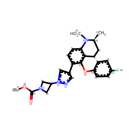 C[C@H]1CCc2c(ccc(-c3cnn(C4CN(C(=O)OC(C)(C)C)C4)c3)c2Oc2ccc(F)cc2)N1C(=O)O